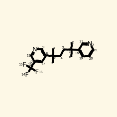 CC(C)(CCC(C)(C)c1cncc(C(F)(F)F)c1)c1cccnc1